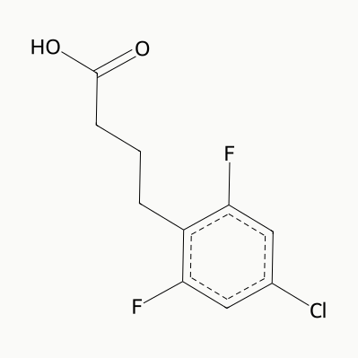 O=C(O)CCCc1c(F)cc(Cl)cc1F